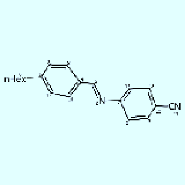 CCCCCCc1ccc(/C=N/c2ccc(C#N)cc2)cc1